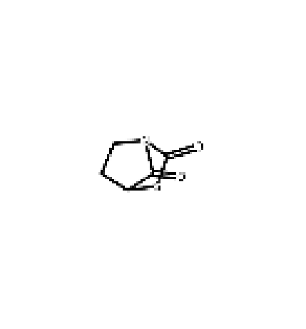 O=C1SC2CCN1C2=O